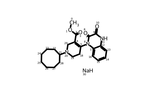 COC(=O)C1=C(n2c(=O)c(=O)[nH]c3ccccc32)CCN(C2CCCCCCC2)C1.[NaH]